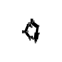 C=CC#N.CNC